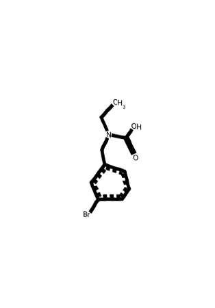 CCN(Cc1cccc(Br)c1)C(=O)O